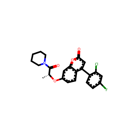 C[C@@H](Oc1ccc2c(-c3ccc(F)cc3Cl)cc(=O)oc2c1)C(=O)N1CCCCC1